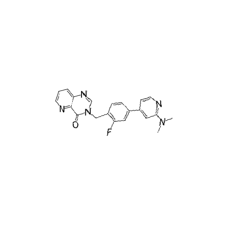 CN(C)c1cc(-c2ccc(Cn3cnc4cccnc4c3=O)c(F)c2)ccn1